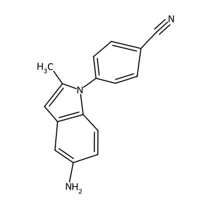 Cc1cc2cc(N)ccc2n1-c1ccc(C#N)cc1